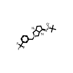 CC(C)(C)[S@+]([O-])/N=C1\CC[C@@H]2CN(Cc3cccc(C(F)(F)F)c3)C[C@H]12